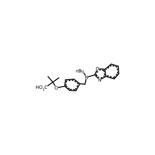 CCCCN(Cc1ccc(OC(C)(C)C(=O)O)cc1)c1nc2ccccc2o1